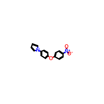 O=[N+]([O-])c1ccc(Oc2ccc(-n3cccc3)cc2)cc1